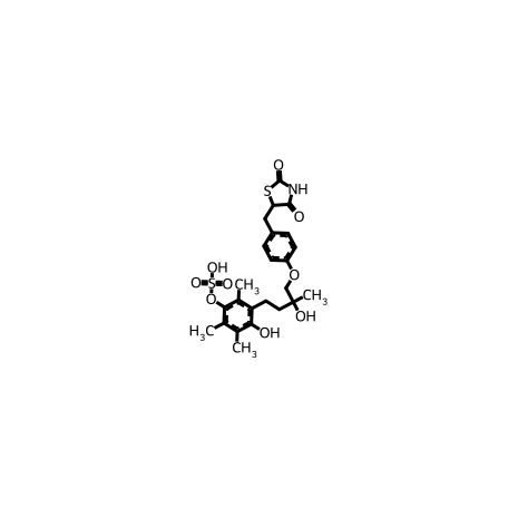 Cc1c(C)c(OS(=O)(=O)O)c(C)c(CCC(C)(O)COc2ccc(CC3SC(=O)NC3=O)cc2)c1O